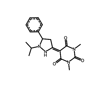 CC(C)N1NC(=C2C(=O)N(C)C(=O)N(C)C2=O)CC1c1ccccc1